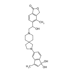 CC1=CS(O)(O)c2ccc(N3CCC4(CCN(CC(O)c5ccc6c(c5C)COC6=O)CC4)C3)cc21